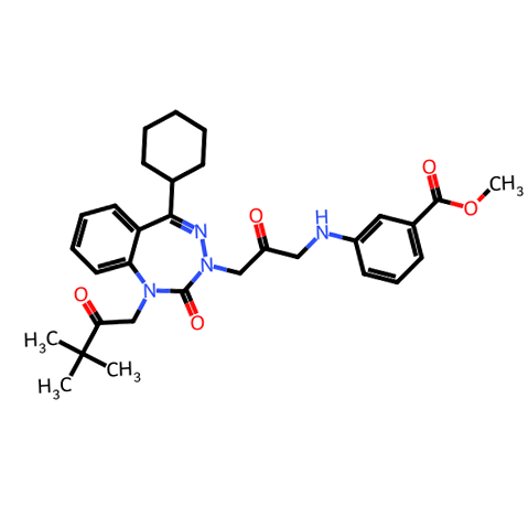 COC(=O)c1cccc(NCC(=O)CN2N=C(C3CCCCC3)c3ccccc3N(CC(=O)C(C)(C)C)C2=O)c1